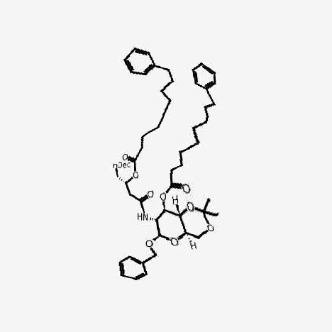 CCCCCCCCCCC[C@@H](CC(=O)N[C@H]1[C@H](OCc2ccccc2)O[C@@H]2COC(C)(C)O[C@H]2[C@@H]1OC(=O)CCCCCCCCc1ccccc1)OC(=O)CCCCCCCCc1ccccc1